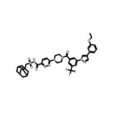 CCOc1cccc(-c2cnn(-c3cc(C(=O)N4CCN(c5ccc(C(=O)NS(=O)(=O)CC67CC8CC(CC(C8)C6)C7)nn5)CC4)cc(C(F)(F)F)c3)c2)c1